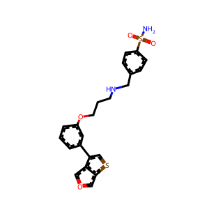 NS(=O)(=O)c1ccc(CNCCCOc2cccc(-c3csc4cocc34)c2)cc1